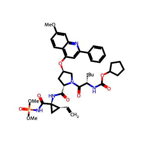 C=C[C@@H]1C[C@]1(NC(=O)[C@@H]1C[C@@H](Oc2cc(-c3ccccc3)nc3cc(OC)ccc23)CN1C(=O)[C@@H](NC(=O)OC1CCCC1)C(C)(C)C)C(=O)NP(=O)(OC)OC